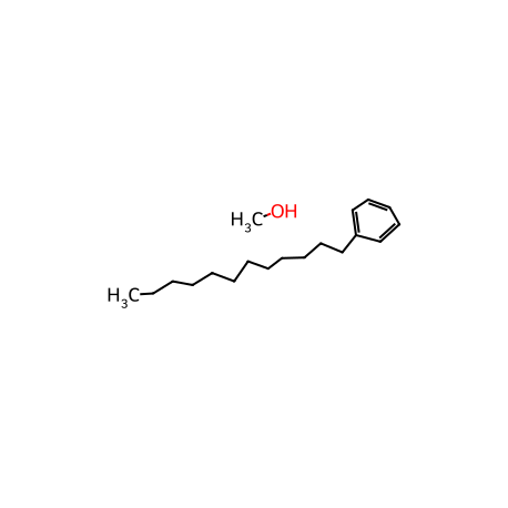 CCCCCCCCCCCCc1ccccc1.CO